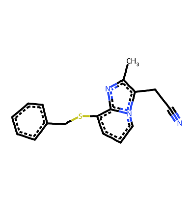 Cc1nc2c(SCc3ccccc3)cccn2c1CC#N